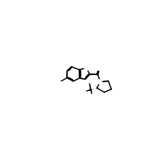 CCC(N)(CC)[C@@H]1CCCN1C(=O)c1cc2cc(C(F)(F)F)ccc2o1